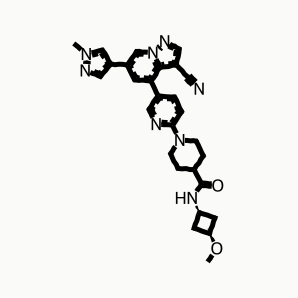 CO[C@H]1C[C@H](NC(=O)C2CCN(c3ccc(-c4cc(-c5cnn(C)c5)cn5ncc(C#N)c45)cn3)CC2)C1